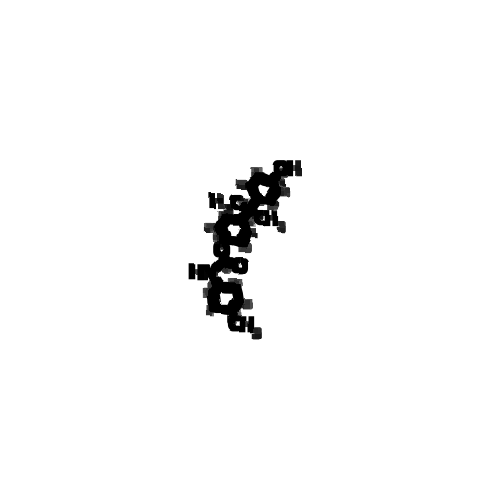 Cc1ccc(NC(=O)Oc2ccc(C(C)(C)c3ccc(O)cc3)cc2)cc1